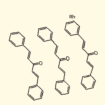 O=C(C=Cc1ccccc1)C=Cc1ccccc1.O=C(C=Cc1ccccc1)C=Cc1ccccc1.O=C(C=Cc1ccccc1)C=Cc1ccccc1.[Rh]